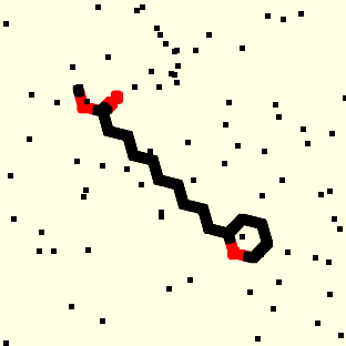 COC(=O)CCCCCCCCCC1CCCCO1